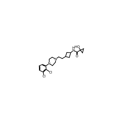 O=C(NC1CC(CCN2CCN(c3cccc(Cl)c3Cl)CC2)C1)C1(O)CC1